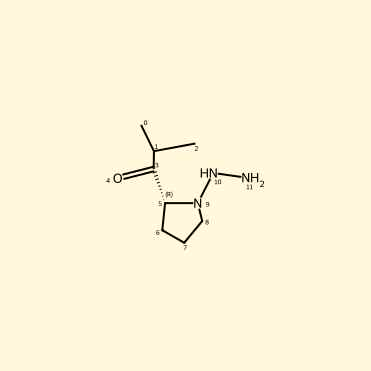 CC(C)C(=O)[C@H]1CCCN1NN